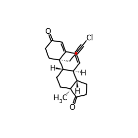 C[C@]12CC[C@H]3[C@@H](C=CC4=CC(=O)CC[C@@]43CC#CCl)[C@@H]1CCC2=O